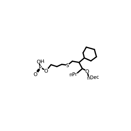 CCCCCCCCCCOC(CCC)C(CSCCCO[P](=O)O)C1CCCCC1